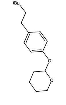 CCC(C)CCc1ccc(OC2CCCCO2)cc1